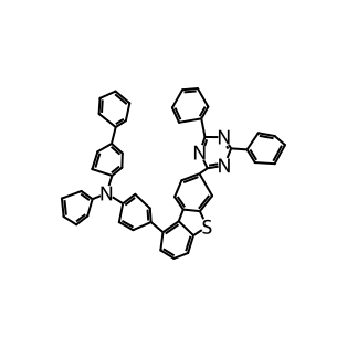 c1ccc(-c2ccc(N(c3ccccc3)c3ccc(-c4cccc5sc6cc(-c7nc(-c8ccccc8)nc(-c8ccccc8)n7)ccc6c45)cc3)cc2)cc1